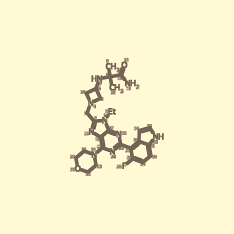 CCn1c(CN2CC(NC(C)(C)C(N)=O)C2)nc2c(N3CCOCC3)nc(-c3c(F)ccc4[nH]ccc34)nc21